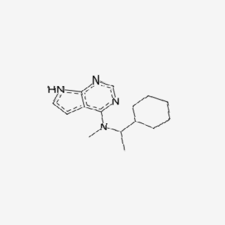 CC(C1CCCCC1)N(C)c1ncnc2[nH]ccc12